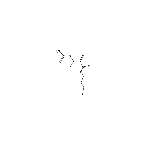 C=C(C(=O)OCCCC)C(C)OC(N)=O